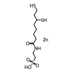 O=C(CCCCC(S)CCS)NCCS(=O)(=O)O.[Zn]